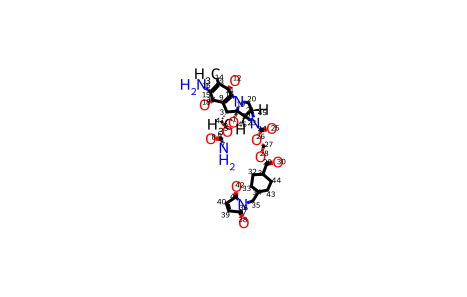 CO[C@@]12[C@H](COC(N)=O)C3=C(C(=O)C(C)=C(N)C3=O)N1C[C@H]1[C@@H]2N1C(=O)OCOC(=O)C1CCC(CN2C(=O)C=CC2=O)CC1